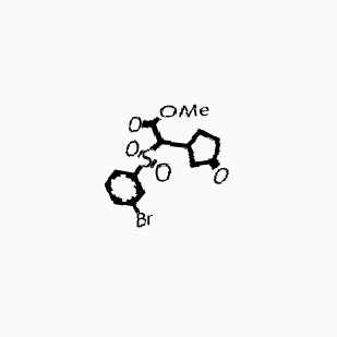 COC(=O)C(C1CCC(=O)C1)S(=O)(=O)c1cccc(Br)c1